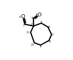 O=CC1(C=O)CCCCCCC1